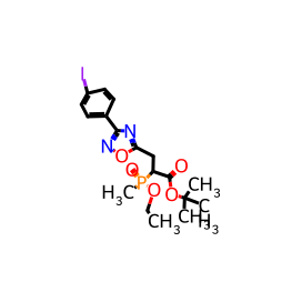 CCOP(C)(=O)C(Cc1nc(-c2ccc(I)cc2)no1)C(=O)OC(C)(C)C